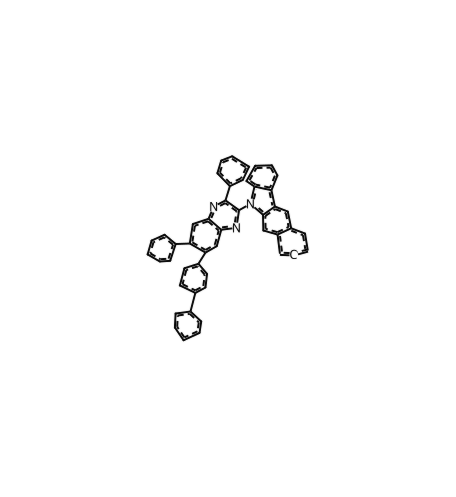 c1ccc(-c2ccc(-c3cc4nc(-n5c6ccccc6c6cc7ccccc7cc65)c(-c5ccccc5)nc4cc3-c3ccccc3)cc2)cc1